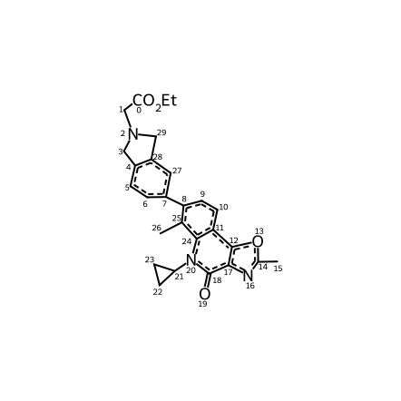 CCOC(=O)CN1Cc2ccc(-c3ccc4c5oc(C)nc5c(=O)n(C5CC5)c4c3C)cc2C1